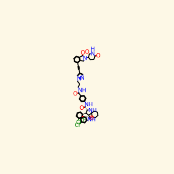 O=C1CCC(N2Cc3c(C#Cc4cnn(CCCNC(=O)c5ccc(NC(=O)[C@@H]6NC7(CCCCC7)[C@@]7(C(=O)Nc8cc(Cl)ccc87)[C@H]6c6cccc(Cl)c6F)cc5)c4)cccc3C2=O)C(=O)N1